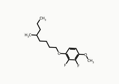 CCCC(C)CCCCOc1ccc(OC)c(F)c1F